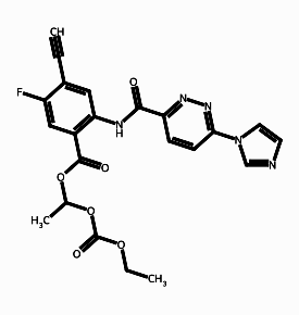 C#Cc1cc(NC(=O)c2ccc(-n3ccnc3)nn2)c(C(=O)OC(C)OC(=O)OCC)cc1F